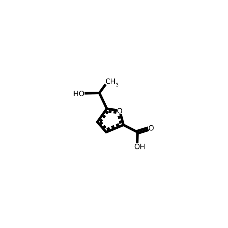 CC(O)c1ccc(C(=O)O)o1